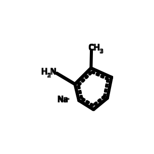 Cc1ccccc1N.[Na]